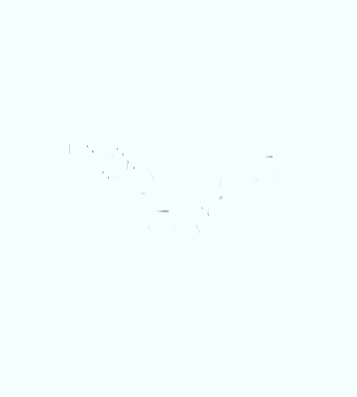 Nc1nc2cc(-c3ccc(Cl)c(C(=O)NC[C@H](F)Cc4ccc(F)cc4)c3F)ccn2n1